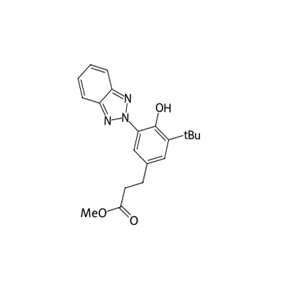 COC(=O)CCc1cc(-n2nc3ccccc3n2)c(O)c(C(C)(C)C)c1